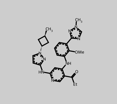 CCC(=O)c1cnc(Nc2ccn([C@H]3C[C@H](C)C3)n2)cc1Nc1cccc(-c2ncn(C)n2)c1OC